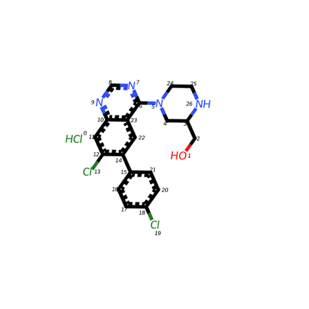 Cl.OCC1CN(c2ncnc3cc(Cl)c(-c4ccc(Cl)cc4)cc23)CCN1